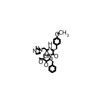 COc1ccc(C[C@H](NC(=O)Cn2ccnn2)C(=O)N[C@@H](Cc2ccccc2)C(=O)[C@@]2(C)CO2)cc1